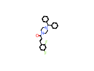 O=C(C=Cc1ccc(F)cc1F)N1CCN(C(c2ccccc2)c2ccccc2)CC1